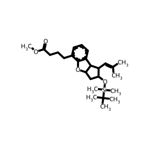 COC(=O)CCCc1cccc2c1OC1CC(O[Si](C)(C)C(C)(C)C)C(C=C(C)C)C21